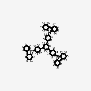 C1=CC2c3ccccc3N(c3ccc(-c4cc(-c5ccc(-n6c7ccccc7c7ccccc76)cc5)cc(-c5ccc(-n6c7ccccc7c7ccccc76)cc5)c4)cc3)C2C=C1